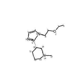 CCOCCn1ccnc1[C@H]1CCCN(C)C1